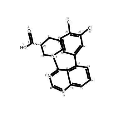 O=C(O)[C@@H]1CCCN(c2ncnc3cccc(-c4ccc(Cl)c(Cl)c4)c23)C1